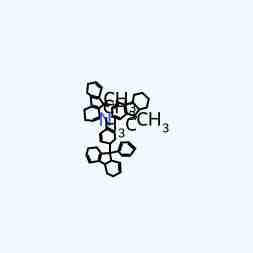 CC1(C)C2=C(CCC=C2)C2=C1C(N(C1=CCC(C3(c4ccccc4)C4=C(C=CCC4)C4CCC=CC43)C=C1)c1ccc3c(c1)C(C)(C)C1CCCCC31)=CCC2